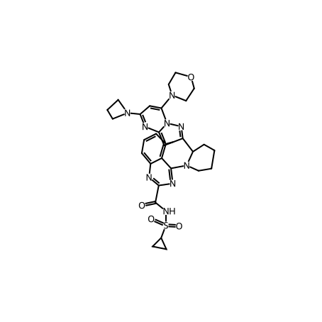 Cc1cccc2nc(C(=O)NS(=O)(=O)C3CC3)nc(N3CCCCC3c3cc4nc(N5CCC5)cc(N5CCOCC5)n4n3)c12